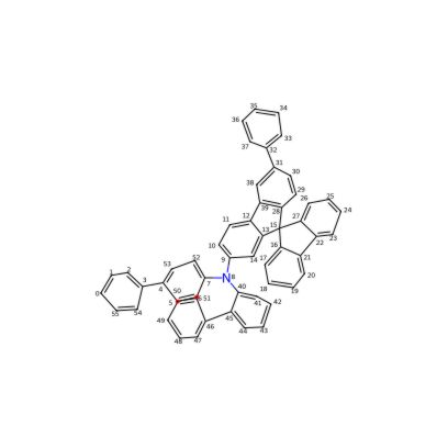 c1ccc(-c2ccc(N(c3ccc4c(c3)C3(c5ccccc5-c5ccccc53)c3ccc(-c5ccccc5)cc3-4)c3ccccc3-c3ccccc3)cc2)cc1